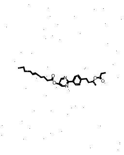 CCCCC=CCCCC(=O)Oc1cnc(-c2ccc(CCC(C)OC(=O)CC)cc2)nc1